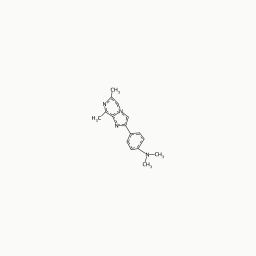 Cc1cn2cc(-c3ccc(N(C)C)cc3)nc2c(C)n1